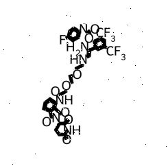 CN(C(=O)Oc1c(/C(N)=C/NCCOCCOCC(=O)Nc2cccc3c2C(=O)N(C2CCC(=O)NC2=O)C3=O)cc(C(F)(F)F)cc1C(F)(F)F)c1ccc(F)cc1